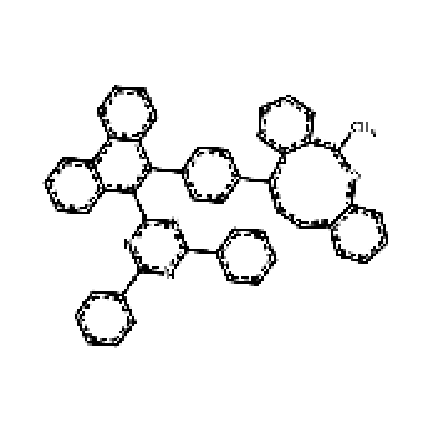 Cc1oc2ccccc2ccc(-c2ccc(-c3c(-c4nc(-c5ccccc5)nc(-c5ccccc5)n4)c4ccccc4c4ccccc34)cc2)c2ccccc12